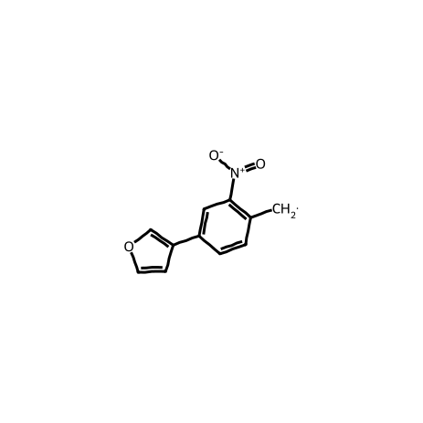 [CH2]c1ccc(-c2ccoc2)cc1[N+](=O)[O-]